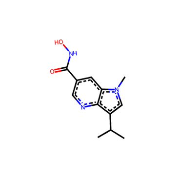 CC(C)c1cn(C)c2cc(C(=O)NO)cnc12